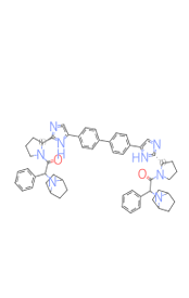 O=C(C(c1ccccc1)N1C2CCC1CC2)N1CCC[C@H]1c1ncc(-c2ccc(-c3ccc(-c4cnc([C@@H]5CCCN5C(=O)C(c5ccccc5)N5C6CCC5CC6)[nH]4)cc3)cc2)[nH]1